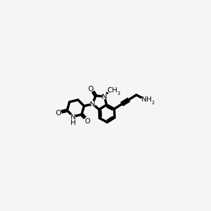 Cn1c(=O)n(C2CCC(=O)NC2=O)c2cccc(C#CCN)c21